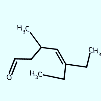 CCC(=CC(C)CC=O)CC